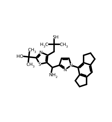 CC(C)(S)Cc1nc(C(C)(C)O)sc1C(N)c1ccn(-c2c3c(cc4c2CCC4)CCC3)n1